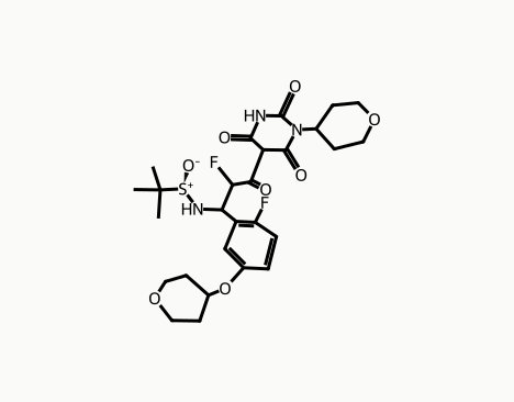 CC(C)(C)[S@@+]([O-])NC(c1cc(OC2CCOCC2)ccc1F)C(F)C(=O)C1C(=O)NC(=O)N(C2CCOCC2)C1=O